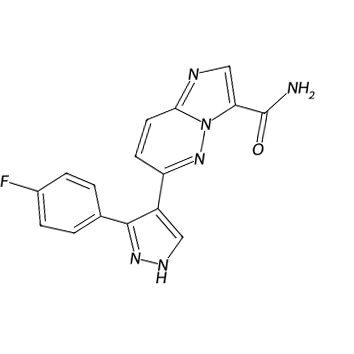 NC(=O)c1cnc2ccc(-c3c[nH]nc3-c3ccc(F)cc3)nn12